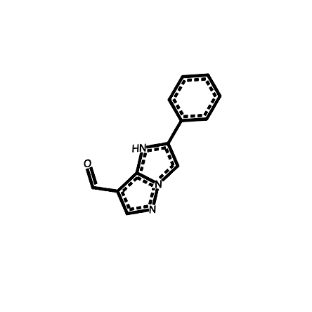 O=Cc1cnn2cc(-c3ccccc3)[nH]c12